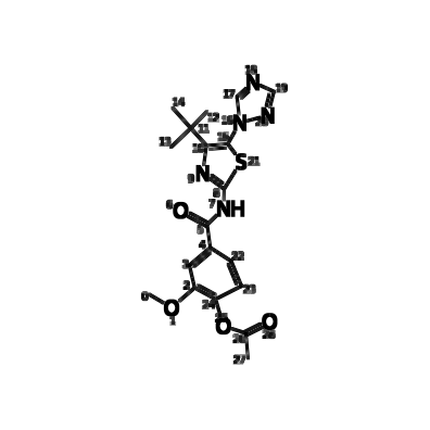 COc1cc(C(=O)Nc2nc(C(C)(C)C)c(-n3cncn3)s2)ccc1OC(C)=O